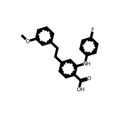 COc1cccc(CCc2ccc(C(=O)O)c(Nc3ccc(F)cc3)c2)c1